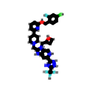 Fc1cc(Cl)ccc1COc1cccc(C2CCN(Cc3nc4cc(-c5nnc(C(F)(F)F)[nH]5)ncc4n3CC3CCO3)CC2)n1